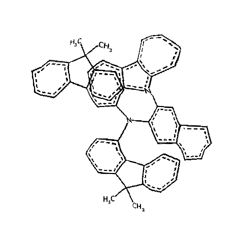 CC1(C)c2ccccc2-c2cc(N(c3cc4ccccc4cc3-n3c4ccccc4c4ccccc43)c3cccc4c3-c3ccccc3C4(C)C)ccc21